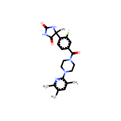 CCCC1(c2ccc(C(=O)N3CCN(c4nc(C)c(C)cc4C)CC3)cc2F)NC(=O)NC1=O